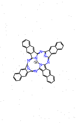 c1ccc2cc3c(cc2c1)C1=NC3=Nc2c3cc4ccccc4cc3c3[n]2[Sn][n]2c(c4cc5ccccc5cc4c2=NC2=NC(=N3)c3cc4ccccc4cc32)=N1